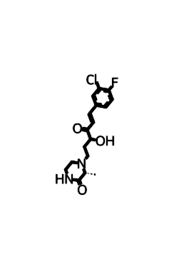 C[C@@H]1C(=O)NCCN1CCC(O)C(=O)/C=C/c1ccc(F)c(Cl)c1